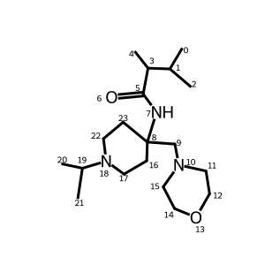 CC(C)C(C)C(=O)NC1(CN2CCOCC2)CCN(C(C)C)CC1